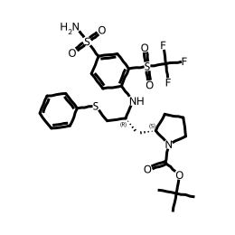 CC(C)(C)OC(=O)N1CCC[C@H]1C[C@H](CSc1ccccc1)Nc1ccc(S(N)(=O)=O)cc1S(=O)(=O)C(F)(F)F